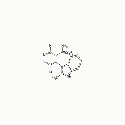 CCc1cnc(F)c(C(N)=O)c1-c1c(C)[nH]c2cccc(C)c12